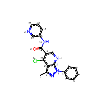 Cc1nn(-c2ccccc2)c2ncc(C(=O)Nc3cccnc3)c(Cl)c12